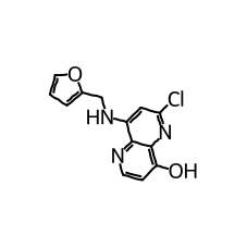 Oc1ccnc2c(NCc3ccco3)cc(Cl)nc12